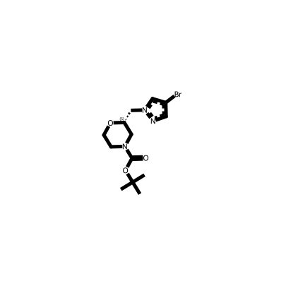 CC(C)(C)OC(=O)N1CCO[C@H](Cn2cc(Br)cn2)C1